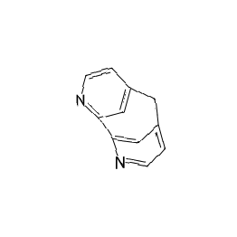 c1cc2cc(n1)-c1cc(ccn1)C2